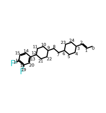 C/C=C/C1CCC(CCC2CCC(c3ccc(F)c(F)c3)CC2)CC1